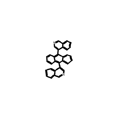 c1ccc2c(-c3c4ccccc4c(-c4cncc5ccccc45)c4ccccc34)cncc2c1